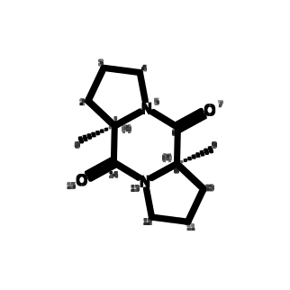 C[C@]12CCCN1C(=O)[C@@]1(C)CCCN1C2=O